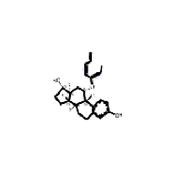 C=C/C=C\C(=C/C)O[C@H]1C[C@]2(C)[C@@H](O)CC[C@H]2[C@@H]2CCc3cc(O)ccc3[C@H]21